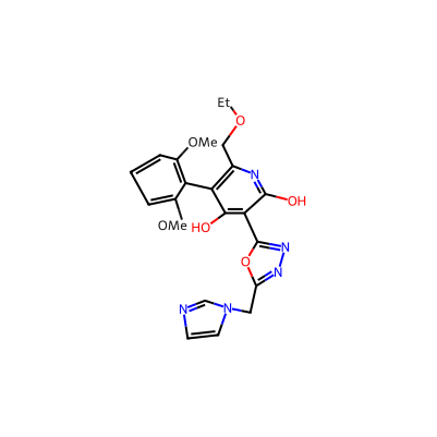 CCOCc1nc(O)c(-c2nnc(Cn3ccnc3)o2)c(O)c1-c1c(OC)cccc1OC